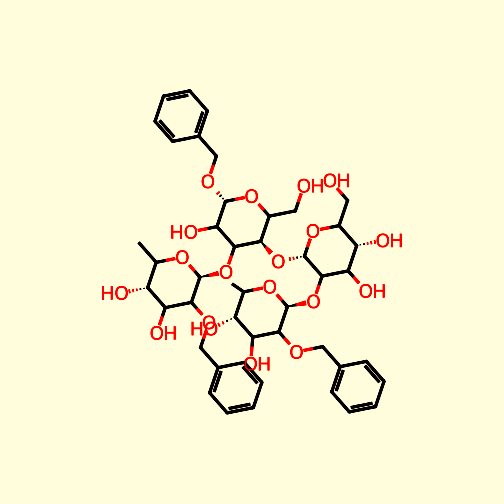 CC1O[C@@H](OC2C(O)[C@@H](O)C(CO)O[C@H]2O[C@@H]2C(CO)O[C@@H](OCc3ccccc3)C(O)C2O[C@@H]2OC(C)[C@@H](O)C(O)C2OCc2ccccc2)C(OCc2ccccc2)C(O)[C@@H]1O